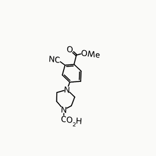 COC(=O)c1ccc(N2CCN(C(=O)O)CC2)cc1C#N